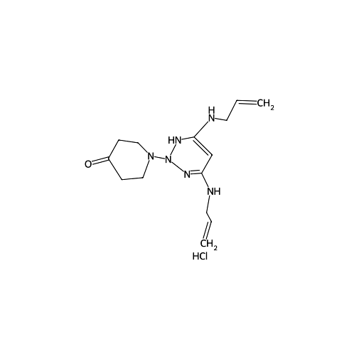 C=CCNC1=CC(NCC=C)=NN(N2CCC(=O)CC2)N1.Cl